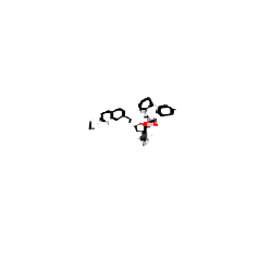 CC(C)(C)[Si](OC1C(F)C(OS(C)(=O)=O)C[C@@H]1CCc1ccc2ccc(N3CCC3)nc2c1)(c1ccccc1)c1ccccc1